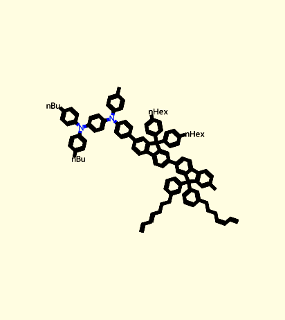 C=C/C=C\CCCc1cccc(C2(c3cccc(CCC/C=C/C=C)c3)c3cc(C)ccc3-c3ccc(-c4ccc5c(c4)C(c4ccc(CCCCCC)cc4)(c4ccc(CCCCCC)cc4)c4cc(-c6ccc(N(c7ccc(C)cc7)c7ccc(N(c8ccc(CCCC)cc8)c8ccc(CCCC)cc8)cc7)cc6)ccc4-5)cc32)c1